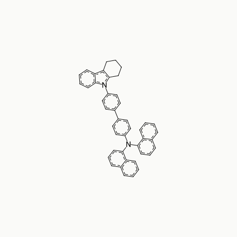 c1ccc2c(N(c3ccc(-c4ccc(-n5c6c(c7ccccc75)CCCC6)cc4)cc3)c3cccc4ccccc34)cccc2c1